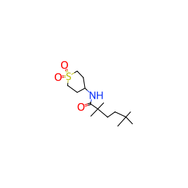 CC(C)(C)CCC(C)(C)C(=O)NC1CCS(=O)(=O)CC1